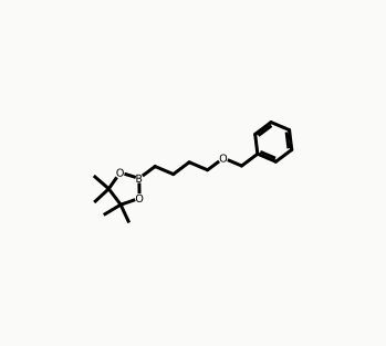 CC1(C)OB(CCCCOCc2ccccc2)OC1(C)C